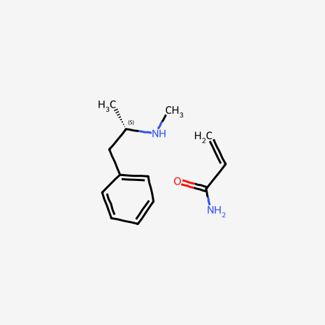 C=CC(N)=O.CN[C@@H](C)Cc1ccccc1